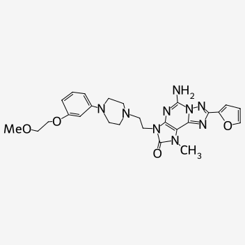 COCCOc1cccc(N2CCN(CCn3c(=O)n(C)c4c3nc(N)n3nc(-c5ccco5)nc43)CC2)c1